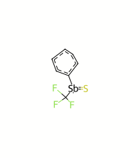 F[C](F)(F)[Sb](=[S])[c]1ccccc1